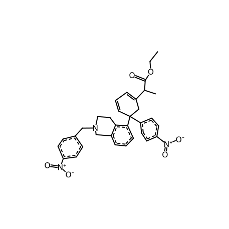 CCOC(=O)C(C)C1=CC=CC(c2ccc([N+](=O)[O-])cc2)(c2cccc3c2CCN(Cc2ccc([N+](=O)[O-])cc2)C3)C1